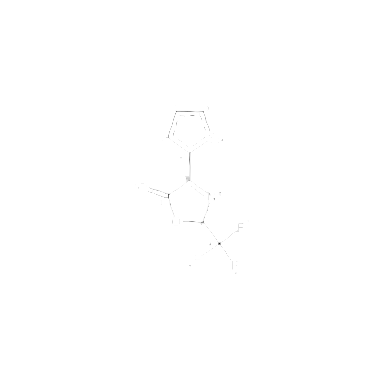 O=C1OC(C(F)(F)F)N=C1c1cccs1